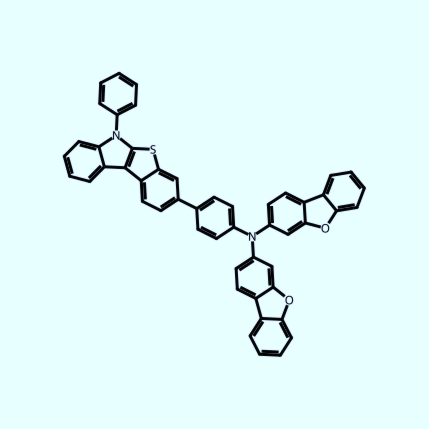 c1ccc(-n2c3ccccc3c3c4ccc(-c5ccc(N(c6ccc7c(c6)oc6ccccc67)c6ccc7c(c6)oc6ccccc67)cc5)cc4sc32)cc1